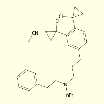 CC#N.CCCN(CCCc1ccc(C2(Cl)CC2)c(C2(Cl)CC2)c1)CCc1ccccc1